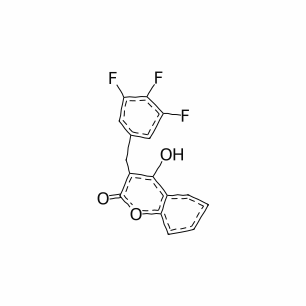 O=c1oc2ccccc2c(O)c1Cc1cc(F)c(F)c(F)c1